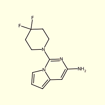 Nc1cc2cccn2c(N2CCC(F)(F)CC2)n1